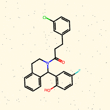 O=C(CCc1cccc(Cl)c1)N1CCc2ccccc2C1c1cc(F)ccc1O